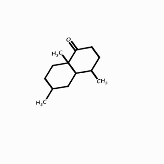 CC1CCC2(C)C(=O)CCC(C)C2C1